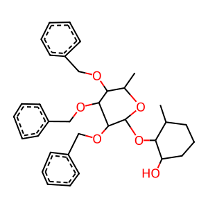 CC1CCCC(O)C1OC1OC(C)C(OCc2ccccc2)C(OCc2ccccc2)C1OCc1ccccc1